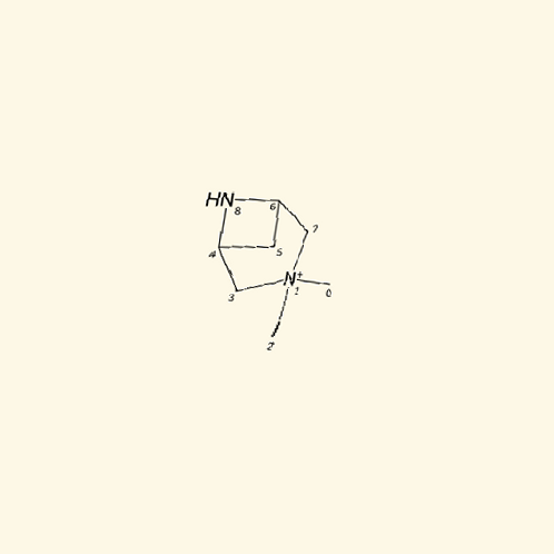 C[N+]1(I)CC2CC(C1)N2